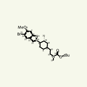 COc1cc2nn(C3CCC(CCN(C)C(=O)OC(C)(C)C)C[C@H]3C)cc2cc1Br